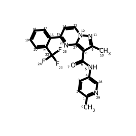 Cc1ccc(NC(=O)c2c(C)nn3ccc(-c4ccccc4C(F)(F)F)nc23)cn1